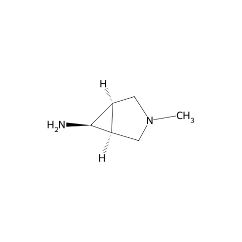 CN1C[C@@H]2[C@H](N)[C@@H]2C1